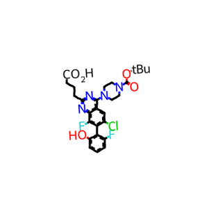 CC(C)(C)OC(=O)N1CCN(c2nc(CCCC(=O)O)nc3c(F)c(-c4c(O)cccc4F)c(Cl)cc23)CC1